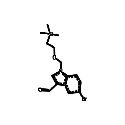 C[Si](C)(C)CCOCn1cc(C=O)c2cc(Br)ccc21